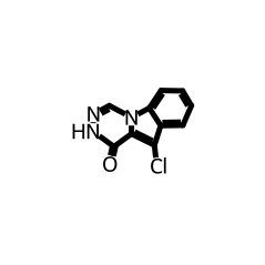 O=c1[nH]ncn2c1c(Cl)c1ccccc12